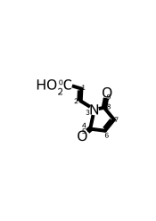 O=C(O)C=CN1C(=O)C=CC1=O